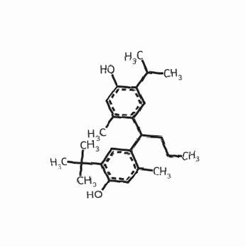 CCCC(c1cc(C(C)C)c(O)cc1C)c1cc(C(C)(C)C)c(O)cc1C